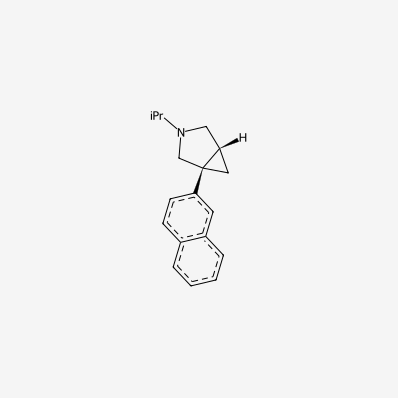 CC(C)N1C[C@@H]2C[C@]2(c2ccc3ccccc3c2)C1